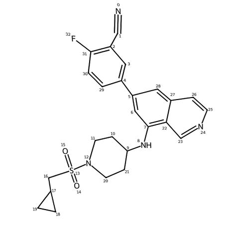 N#Cc1cc(-c2cc(NC3CCN(S(=O)(=O)CC4CC4)CC3)c3cnccc3c2)ccc1F